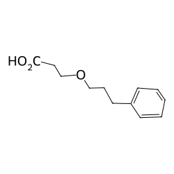 O=C(O)CCOCCCc1ccccc1